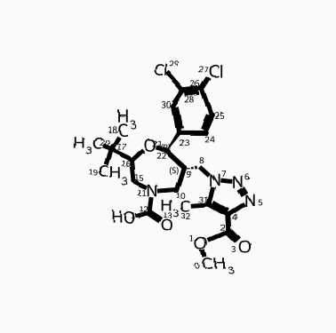 COC(=O)c1nnn(C[C@@H]2CN(C(=O)O)CC(C(C)(C)C)O[C@H]2c2ccc(Cl)c(Cl)c2)c1C